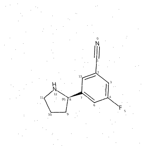 N#Cc1cc(F)cc([C@H]2CCCN2)c1